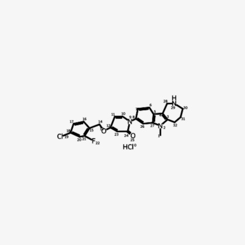 Cl.Cn1c2c(c3ccc(-n4ccc(OCc5ccc(Cl)cc5F)cc4=O)cc31)CNCCC2